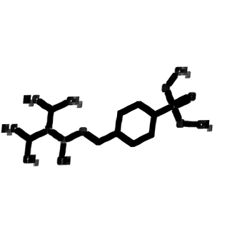 COP(=O)(OC)C1CCC(COP(O)N(C(C)C)C(C)C)CC1